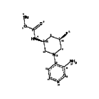 CC(C)(C)OC(=O)N[C@H]1C[C@@H](F)CN(c2ccncc2N)C1